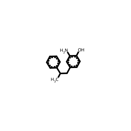 CC(Cc1ccc(O)c(N)c1)c1ccccc1